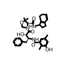 Cc1cc(O)c(C)c(C(=O)N[C@@H](Cc2ccccc2)[C@H](O)C(=O)N2COC(C)(C)[C@H]2C(=O)NC2CCC3=C2CCC=C3)c1